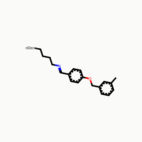 CCCCCCCCCCCCCC/N=C/c1ccc(OCc2cccc(C)c2)cc1